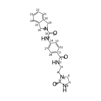 O=C(NCCN1CCNC1=O)c1ccc(NC(=O)N2Cc3ccccc3C2)cc1